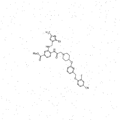 CCn1nc(C)cc1CNc1cc(C(=O)OC)ccc1NC(=O)CN1CCC(Oc2cccc(COc3ccc(C#N)cc3F)n2)CC1